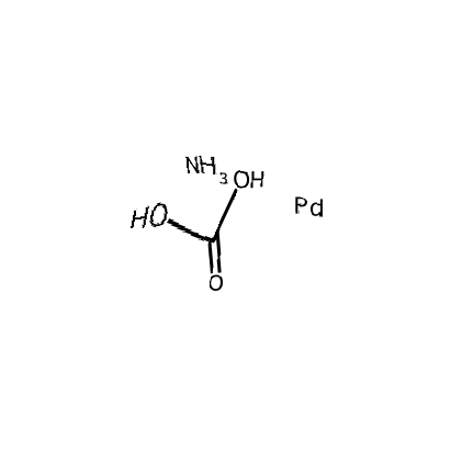 N.O=C(O)O.[Pd]